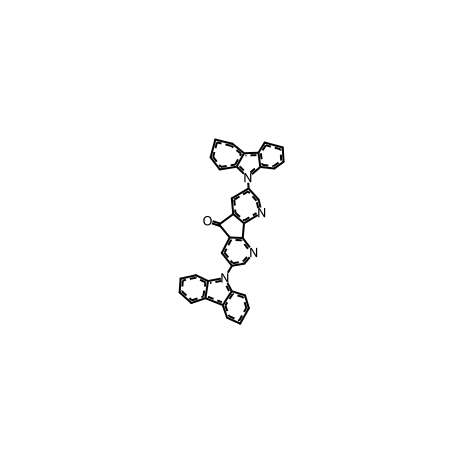 O=C1c2cc(-n3c4ccccc4c4ccccc43)cnc2-c2ncc(-n3c4ccccc4c4ccccc43)cc21